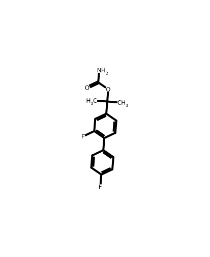 CC(C)(OC(N)=O)c1ccc(-c2ccc(F)cc2)c(F)c1